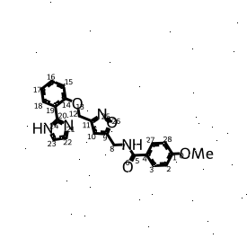 COc1ccc(C(=O)NCc2cc(COc3ccccc3-c3ncc[nH]3)no2)cc1